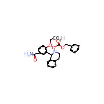 NC(=O)c1ccc(OCC(=O)O)c(C2c3ccccc3CCN2OC(=O)OCc2ccccc2)c1